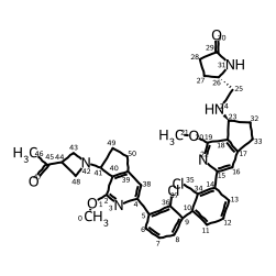 COc1nc(-c2cccc(-c3cccc(-c4cc5c(c(OC)n4)[C@@H](NC[C@@H]4CCC(=O)N4)CC5)c3Cl)c2Cl)cc2c1C(N1CC(C(C)=O)C1)CC2